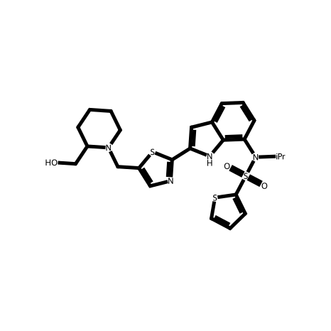 CC(C)N(c1cccc2cc(-c3ncc(CN4CCCCC4CO)s3)[nH]c12)S(=O)(=O)c1cccs1